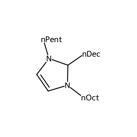 CCCCCCCCCCC1N(CCCCC)C=CN1CCCCCCCC